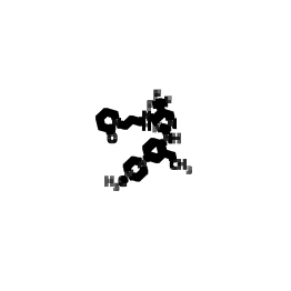 CCc1cc(N2CCN(C)CC2)ccc1Nc1ncc(C(F)(F)F)c(NCCCN2CCCCC2=O)n1